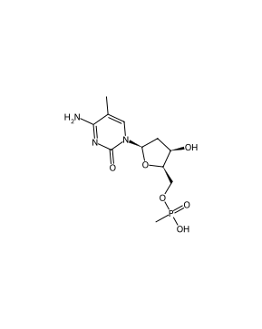 Cc1cn([C@H]2C[C@@H](O)[C@@H](COP(C)(=O)O)O2)c(=O)nc1N